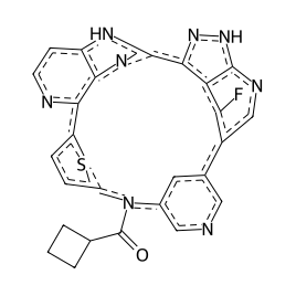 O=C(C1CCC1)n1c2cncc(c2)c2cnc3[nH]nc(c4nc5c(ccnc5c5ccc1s5)[nH]4)c3c2F